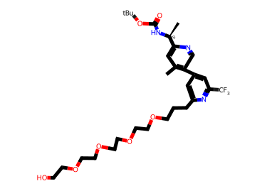 Cc1cc([C@H](C)NC(=O)OC(C)(C)C)ncc1-c1cc(CCCOCCOCCOCCOCCO)nc(C(F)(F)F)c1